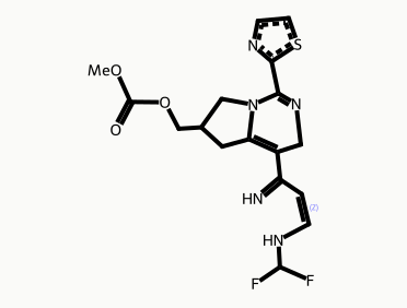 COC(=O)OCC1CC2=C(C(=N)/C=C\NC(F)F)CN=C(c3nccs3)N2C1